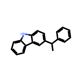 CC(c1ccccc1)c1ccc2[nH]c3ccccc3c2c1